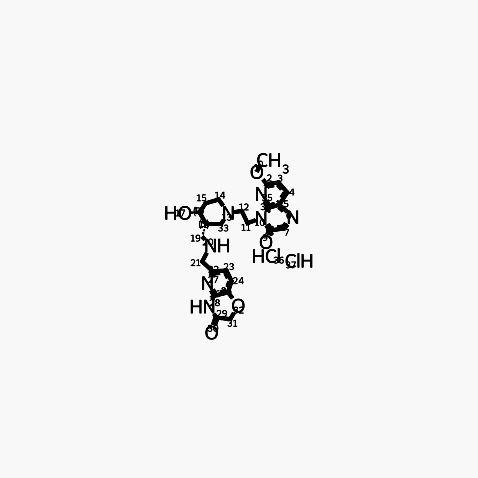 COc1ccc2ncc(=O)n(CCN3CC[C@@H](O)[C@@H](CNCc4ccc5c(n4)NC(=O)CO5)C3)c2n1.Cl.Cl